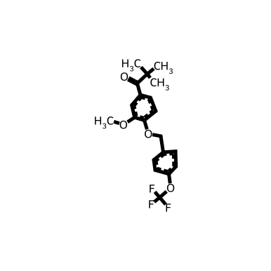 COc1cc(C(=O)C(C)(C)C)ccc1OCc1ccc(OC(F)(F)F)cc1